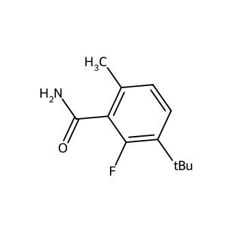 Cc1ccc(C(C)(C)C)c(F)c1C(N)=O